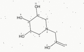 C=C(O)CN1CC(O)C(O)C(O)C1